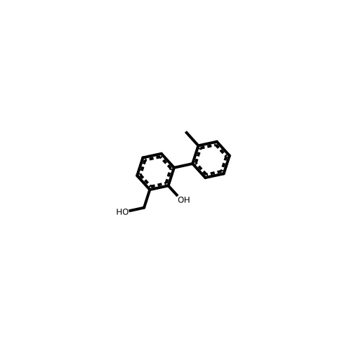 Cc1ccccc1-c1cccc(CO)c1O